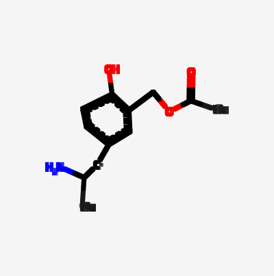 CC(C)(C)C(=O)OCc1cc([CH]C(N)C(C)(C)C)ccc1O